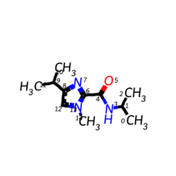 CC(C)NC(=O)c1nc(C(C)C)cn1C